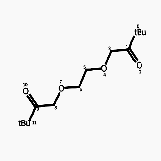 CC(C)(C)C(=O)COCCOCC(=O)C(C)(C)C